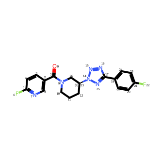 O=C(c1ccc(F)nc1)N1CCC[C@H](n2nnc(-c3ccc(F)cc3)n2)C1